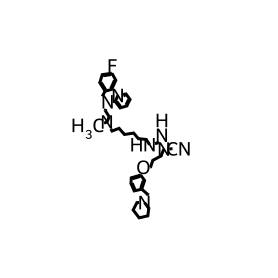 CN(CCCCCCNC(=N)N(C#N)CCCOc1cccc(CN2CCCCC2)c1)CCN(Cc1ccc(F)cc1)c1ccccn1